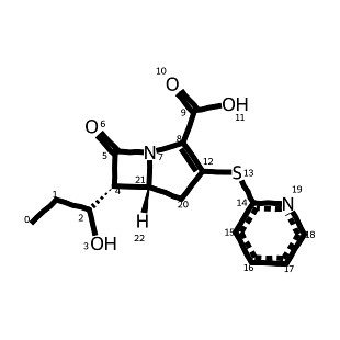 CCC(O)[C@@H]1C(=O)N2C(C(=O)O)=C(Sc3ccccn3)C[C@H]12